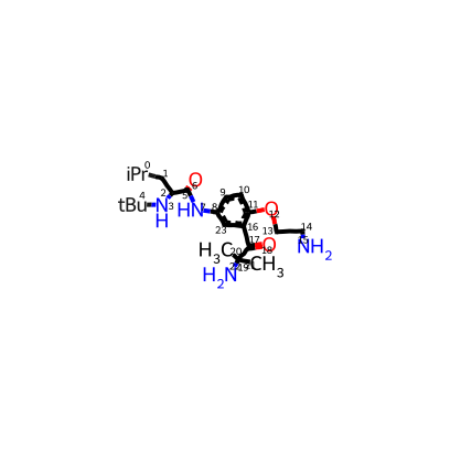 CC(C)CC(NC(C)(C)C)C(=O)Nc1ccc(OCCN)c(C(=O)C(C)(C)N)c1